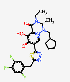 CCN1C(=O)c2c(O)c(=O)c(-c3nnc(Cc4cc(F)c(F)cc4F)s3)cn2N(CC2CCCC2)[C@H]1C